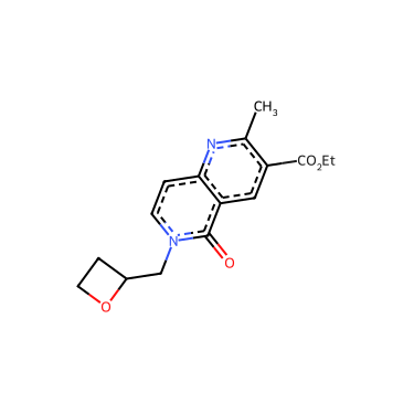 CCOC(=O)c1cc2c(=O)n(CC3CCO3)ccc2nc1C